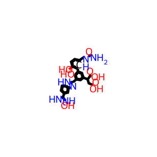 N=C(NO)c1ccc2[nH]c(-c3cc(C(CC(=O)O)C(=O)O)cc(-c4cc(CNC(N)=O)ccc4O)c3O)nc2c1